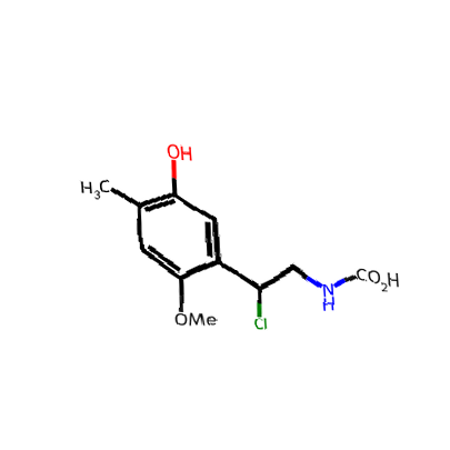 COc1cc(C)c(O)cc1C(Cl)CNC(=O)O